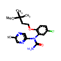 COC(C)(C)CCOc1ccc(Cl)cc1N(C(N)=O)c1cnc(C#N)cn1